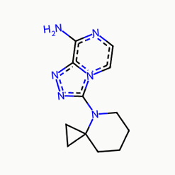 Nc1nccn2c(N3CCCCC34CC4)nnc12